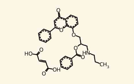 CCCNCC(COc1cccc2c(=O)cc(-c3ccccc3)oc12)OC(=O)c1ccccc1.O=C(O)C=CC(=O)O